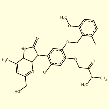 COc1cccc(F)c1COc1cc(N2C(=O)NC3C(C)=CC(CO)=NC32)c(Cl)cc1OCC(=O)N(C)C